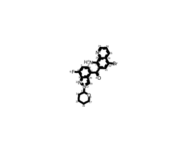 Nc1c(C(=O)c2ccc(F)c3nn(C4CCCCO4)cc23)cc(Br)c2cccnc12